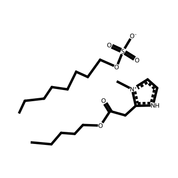 CCCCCCCCOS(=O)(=O)[O-].CCCCCOC(=O)Cc1[nH]cc[n+]1C